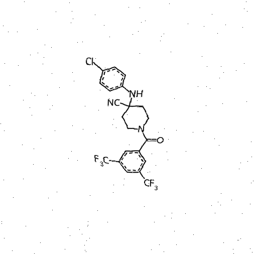 N#CC1(Nc2ccc(Cl)cc2)CCN(C(=O)c2cc(C(F)(F)F)cc(C(F)(F)F)c2)CC1